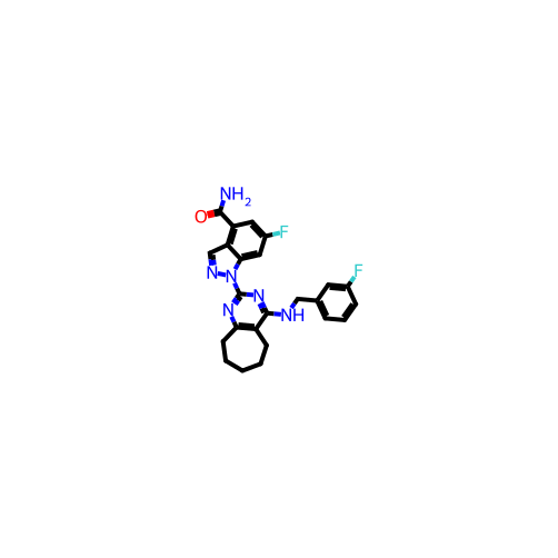 NC(=O)c1cc(F)cc2c1cnn2-c1nc2c(c(NCc3cccc(F)c3)n1)CCCCC2